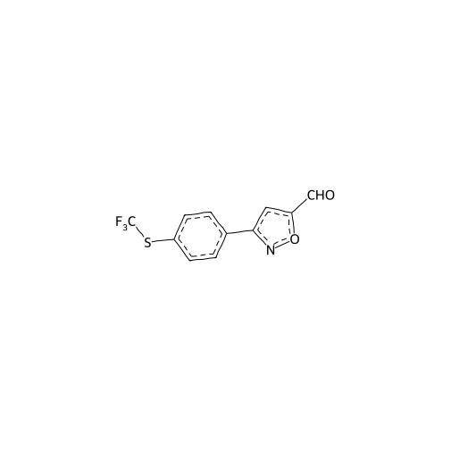 O=Cc1cc(-c2ccc(SC(F)(F)F)cc2)no1